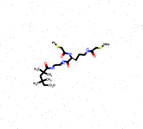 CSSCC(=O)NCCC[C@H](NC(=O)CSC(C)C)C(=O)NCCNC(=O)C(C)(C)CC(C)(C)CC(=O)O